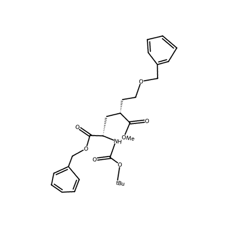 COC(=O)[C@@H](CCOCc1ccccc1)C[C@H](NC(=O)OC(C)(C)C)C(=O)OCc1ccccc1